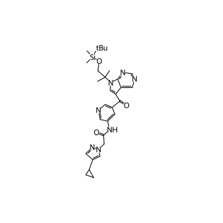 CC(C)(CO[Si](C)(C)C(C)(C)C)n1cc(C(=O)c2cncc(NC(=O)Cn3cc(C4CC4)cn3)c2)c2cncnc21